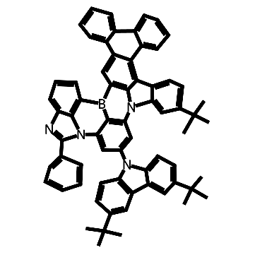 CC(C)(C)c1ccc2c(c1)c1cc(C(C)(C)C)ccc1n2-c1cc2c3c(c1)-n1c4cc(C(C)(C)C)ccc4c4c5c6ccccc6c6ccccc6c5cc(c41)B3c1cccc3nc(-c4ccccc4)n-2c13